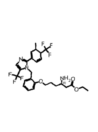 CCOC(=O)C[C@H](N)CCCOc1ccccc1Cn1c(C(F)(F)F)cnc1C1=CC(C)C(C(F)(F)F)C=C1